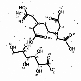 O=C(O)CN(CCN(CC(=O)O)CC(=O)O)CC(=O)O.O=C([O-])[C@H](O)[C@@H](O)[C@H](O)[C@H](O)CO.[Na+]